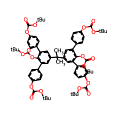 CC(C)(C)OC(=O)Oc1ccc(-c2cc(C(C)(C)c3cc(-c4ccc(OC(=O)OC(C)(C)C)cc4)c(OC(=O)OC(C)(C)C)c(-c4ccc(OC(=O)OC(C)(C)C)cc4)c3)cc(-c3ccc(OC(=O)OC(C)(C)C)cc3)c2OC(=O)OC(C)(C)C)cc1